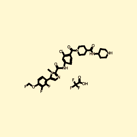 Cn1c(-c2ccc(OCF)c(F)c2F)cnc1C(=O)Nc1ccc(C(=O)N2CCC(C(=O)NC3CCNCC3)CC2)c(Cl)c1.O=C(O)C(F)(F)F